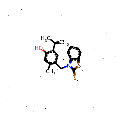 C=C(C)c1cc(Cn2c(=S)sc3ccccc32)c(C)cc1O